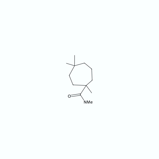 CNC(=O)C1(C)CCCC(C)(C)CC1